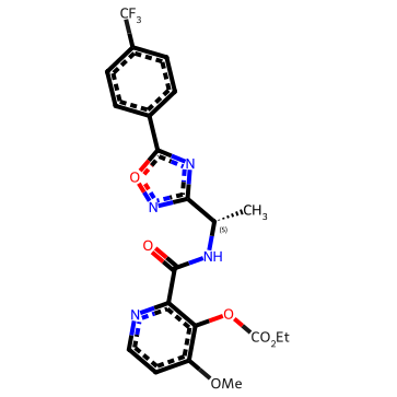 CCOC(=O)Oc1c(OC)ccnc1C(=O)N[C@@H](C)c1noc(-c2ccc(C(F)(F)F)cc2)n1